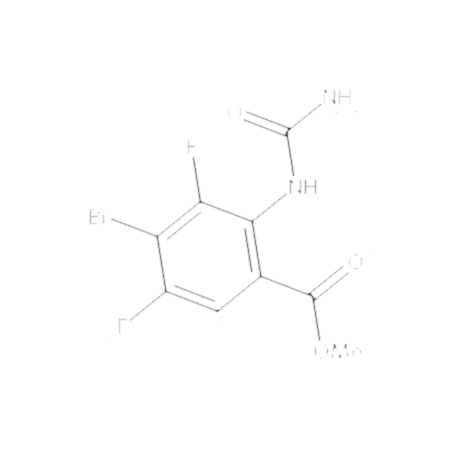 COC(=O)c1cc(F)c(Br)c(F)c1NC(N)=O